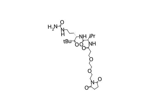 CC(C)C(NC(=O)CCOCCOCCN1C(=O)CCC1=O)C(=O)N[C@@H](CCCNC(N)=O)C(=O)C(C)(C)C